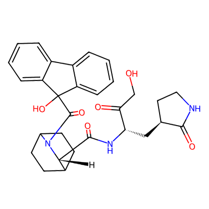 O=C1NCC[C@@H]1C[C@H](NC(=O)[C@@H]1C2CCC(CC2)N1C(=O)C1(O)c2ccccc2-c2ccccc21)C(=O)CO